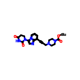 CC(C)(C)OC(=O)N1CCN(CC#Cc2cccn3c(N4CCC(=O)NC4=O)cnc23)CC1